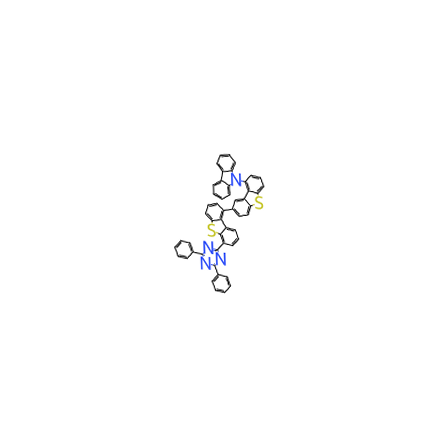 c1ccc(-c2nc(-c3ccccc3)nc(-c3cccc4c3sc3cccc(-c5ccc6sc7cccc(-n8c9ccccc9c9ccccc98)c7c6c5)c34)n2)cc1